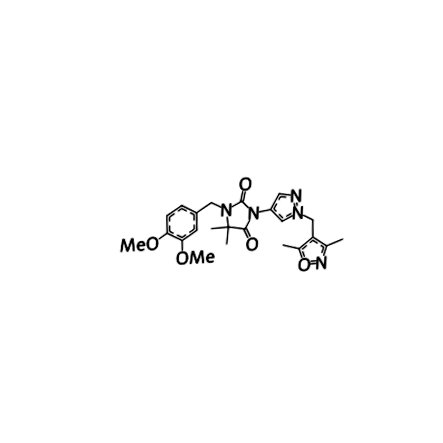 COc1ccc(CN2C(=O)N(c3cnn(Cc4c(C)noc4C)c3)C(=O)C2(C)C)cc1OC